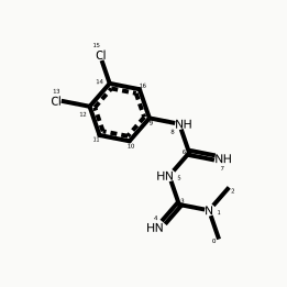 CN(C)C(=N)NC(=N)Nc1ccc(Cl)c(Cl)c1